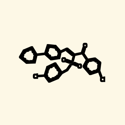 O=C(C(=Cc1ccc(-c2ccccc2)cc1)S(=O)(=O)Cc1ccc(Cl)cc1)c1ccc(Cl)cc1